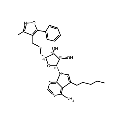 CCCCCc1cn([C@@H]2O[C@H](CSCc3c(C)noc3-c3ccccc3)[C@@H](O)[C@H]2O)c2ncnc(N)c12